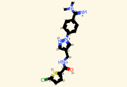 CN(C)C(=N)c1ccc(-n2cc(CNC(=O)c3ccc(Cl)s3)cn2)cc1